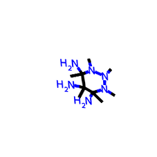 CN1N(C)C(C)(N)C(C)(N)C(C)(N)N1C